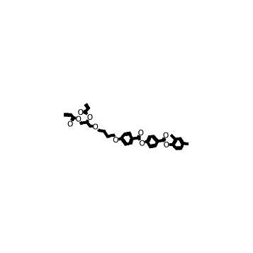 C=CC(=O)OCC(COCCCCOc1ccc(C(=O)Oc2ccc(C(=O)Oc3ccc(C)cc3C)cc2)cc1)OC(=O)C=C